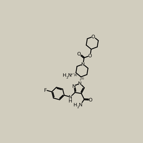 NC(=O)c1cn([C@H]2CCN(C(=O)OC3CCOCC3)C[C@H]2N)nc1Nc1ccc(F)cc1